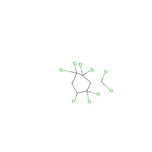 ClC1CC(Cl)(Cl)C(Cl)(Cl)CC1(Cl)Cl.ClCCl